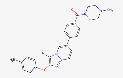 Bc1ccc(Oc2nc3ccc(-c4ccc(C(=O)N5CCN(C)CC5)cc4)cn3c2I)cc1